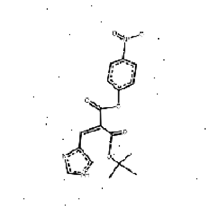 CC(C)(C)OC(=O)C(=Cc1c[nH]cn1)C(=O)Oc1ccc([N+](=O)[O-])cc1